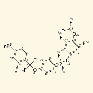 CCCc1ccc(C(F)(F)Oc2ccc(C(F)(F)Oc3cc(F)c(OC(F)F)c(F)c3)cc2)c(F)c1